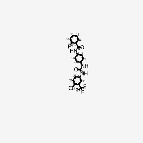 O=C(Nc1ccc(NC(=O)c2ccccc2F)cc1)Nc1ccc(Cl)c(C(F)(F)F)c1